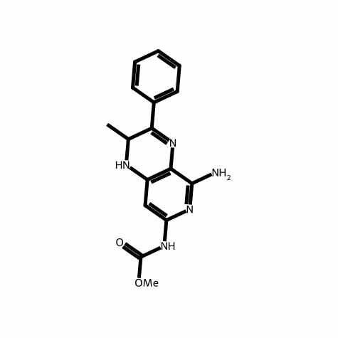 COC(=O)Nc1cc2c(c(N)n1)N=C(c1ccccc1)C(C)N2